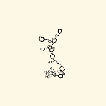 Cc1c(OC2CCC(CCCC(C)N3CCN(c4ccc5c(-c6ccc(OCc7ccccc7)nc6OCc6ccccc6)nn(C)c5c4)CC3)CC2)cccc1B1OC(C)(C)C(C)(C)O1